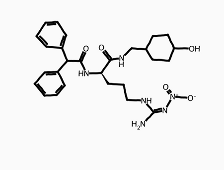 N/C(=N/[N+](=O)[O-])NCCC[C@@H](NC(=O)C(c1ccccc1)c1ccccc1)C(=O)NCC1CCC(O)CC1